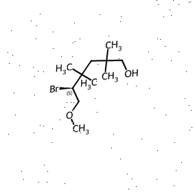 COC[C@@H](Br)C(C)(C)CC(C)(C)CO